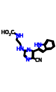 N#Cc1ncc(NCCNC(=O)O)nc1-c1cc2ccccc2[nH]1